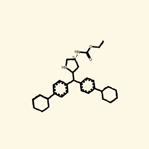 CCOC(=O)N[C@H]1CNC(C(c2ccc(C3CCCCC3)cc2)c2ccc(C3CCCCC3)cc2)C1